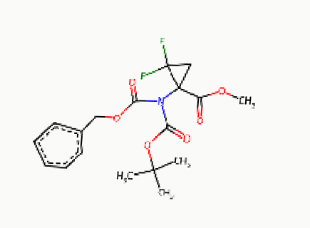 COC(=O)C1(N(C(=O)OCc2ccccc2)C(=O)OC(C)(C)C)CC1(F)F